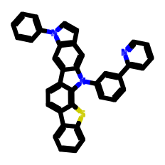 c1ccc(-n2ccc3cc4c(cc32)c2ccc3c5ccccc5sc3c2n4-c2cccc(-c3ccccn3)c2)cc1